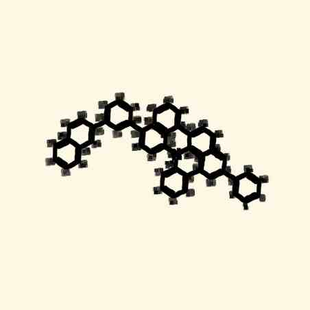 c1ccc(-c2cccc(-c3ccccc3N(c3ccc(-c4cccc(-c5ccc6ccccc6c5)c4)cc3)c3ccccc3-c3ccccc3)c2)cc1